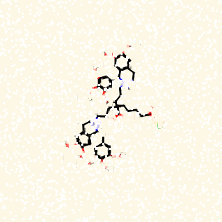 COc1cc2c(cc1OC)[C@H](c1cc(OC)c(OC)c(OC)c1)[N@@+](C)(CCCC(CCCCC(=O)O)(CCC[N@@+]1(C)CCc3cc(OC)c(OC)cc3[C@H]1Cc1cc(OC)c(OC)c(OC)c1)C(=O)O)CC2.[Cl-].[Cl-]